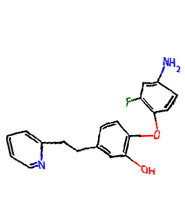 Nc1ccc(Oc2ccc(CCc3ccccn3)cc2O)c(F)c1